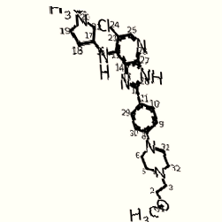 COCCN1CCN(c2ccc(-c3nc4c(NC5CCN(C)C5)c(Cl)cnc4[nH]3)cc2)CC1